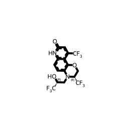 O=c1cc(C(F)(F)F)c2c3c(ccc2[nH]1)N(C[C@@H](O)C(F)(F)F)[C@@H](C(F)(F)F)CO3